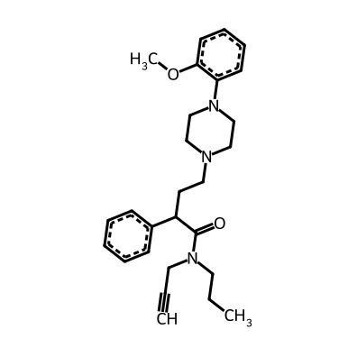 C#CCN(CCC)C(=O)C(CCN1CCN(c2ccccc2OC)CC1)c1ccccc1